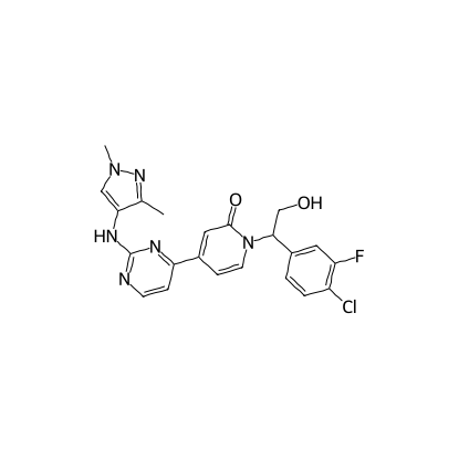 Cc1nn(C)cc1Nc1nccc(-c2ccn(C(CO)c3ccc(Cl)c(F)c3)c(=O)c2)n1